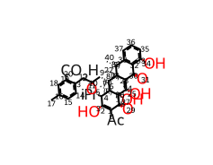 CC(=O)C1=C(O)C(C(C)C)[C@@]2(C)[C@H](CC(=O)Cc3ccc(C)cc3C(=O)O)[C@]3(C)C(=C(O)[C@@]2(O)C1=O)C(=O)c1c(O)cccc1[C@H]3C